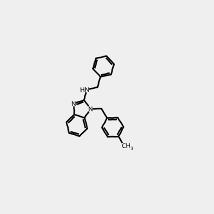 Cc1ccc(Cn2c(NCc3ccccc3)nc3ccccc32)cc1